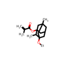 C=C(C)C(=O)OC12CC3CC(C)(CC(OCC)(C3)C1C)C2